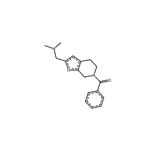 CN(C)Cc1cc2c(o1)CN(C(=O)c1ccccc1)CC2